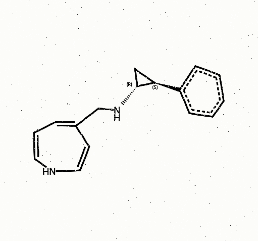 C1=CNC=CC(CN[C@@H]2C[C@H]2c2ccccc2)=C1